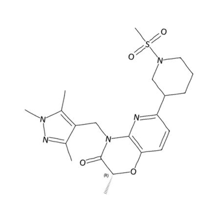 Cc1nn(C)c(C)c1CN1C(=O)[C@@H](C)Oc2ccc(C3CCCN(S(C)(=O)=O)C3)nc21